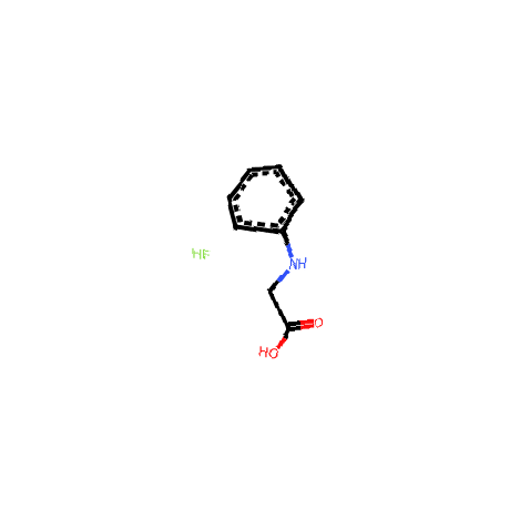 F.O=C(O)CNc1ccccc1